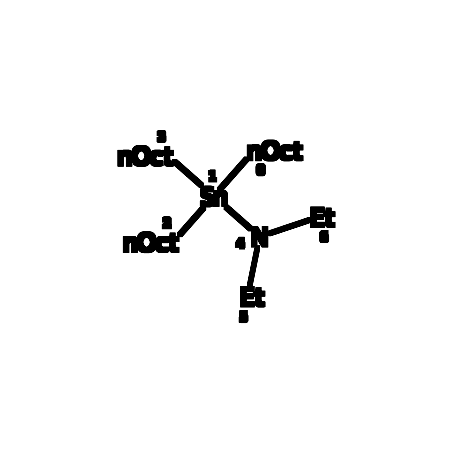 CCCCCCC[CH2][Sn]([CH2]CCCCCCC)([CH2]CCCCCCC)[N](CC)CC